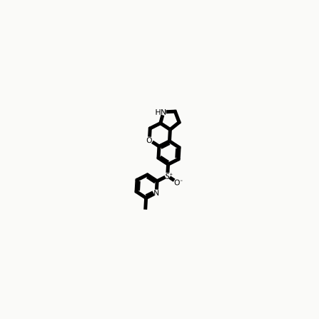 Cc1cccc([S+]([O-])c2ccc3c(c2)OCC2NCCC32)n1